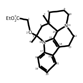 CCOC(=O)COC1(C)CC2(C)CCCN3CCc4c(n1c1ccccc41)C32